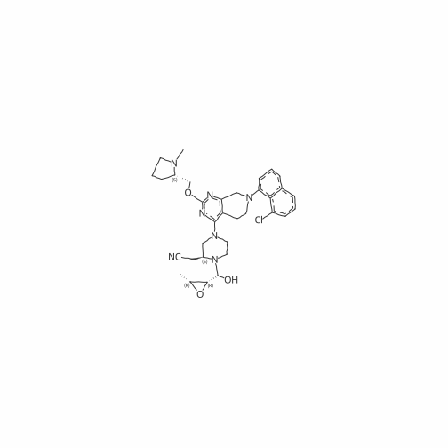 C[C@H]1O[C@H]1C(O)N1CCN(c2nc(OC[C@@H]3CCCN3C)nc3c2CCN(c2cccc4cccc(Cl)c24)C3)C[C@@H]1CC#N